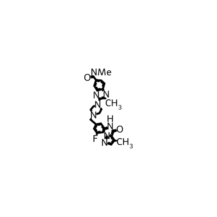 CNC(=O)c1ccc2nc(C)c(N3CCN(Cc4cc(F)c5c(c4)[nH]c(=O)c4c(C)cnn45)CC3)nc2c1